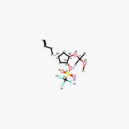 C=CCC[C@H]1C[C@H](OS(=O)(=O)C(F)(F)F)[C@H](OC(C)(C)OC)C1